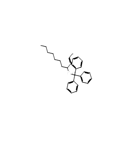 CCCCCCCC(C=CI)OC(c1ccccc1)(c1ccccc1)c1ccccc1